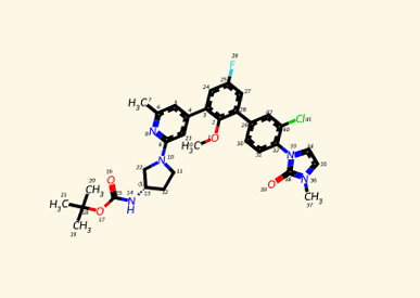 COc1c(-c2cc(C)nc(N3CC[C@H](NC(=O)OC(C)(C)C)C3)c2)cc(F)cc1-c1ccc(-n2ccn(C)c2=O)c(Cl)c1